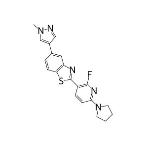 Cn1cc(-c2ccc3sc(-c4ccc(N5CCCC5)nc4F)nc3c2)cn1